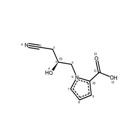 N#CC[C@H](O)Cn1cccc1C(=O)O